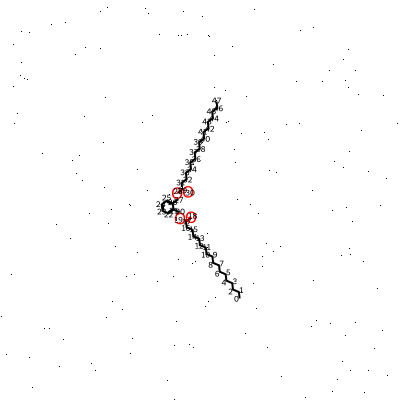 CCCCCCCCCCCCCCCCCC(=O)OCc1ccccc1COC(=O)CCCCCCCCCCCCCCCCC